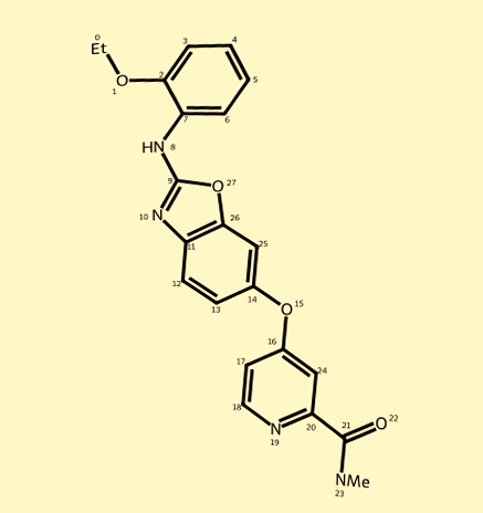 CCOc1ccccc1Nc1nc2ccc(Oc3ccnc(C(=O)NC)c3)cc2o1